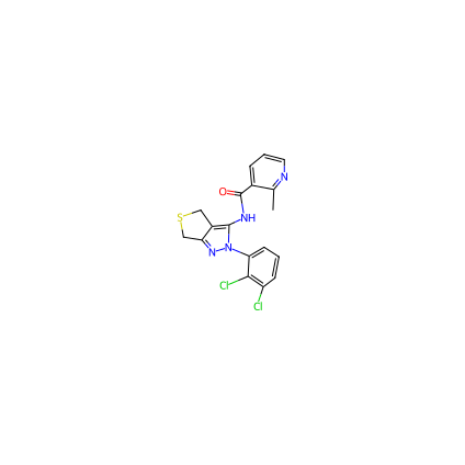 Cc1ncccc1C(=O)Nc1c2c(nn1-c1cccc(Cl)c1Cl)CSC2